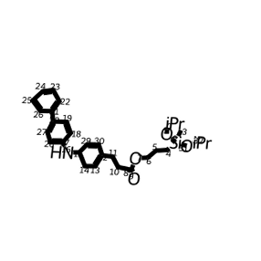 CC(C)O[Si](C)(CCCOC(=O)CCC1=CCC(Nc2ccc(-c3ccccc3)cc2)C=C1)OC(C)C